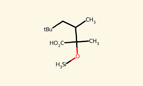 CC(CC(C)(C)C)C(C)(O[SiH3])C(=O)O